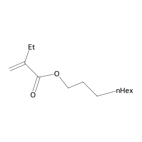 C=C(CC)C(=O)OCCCCCCCCC